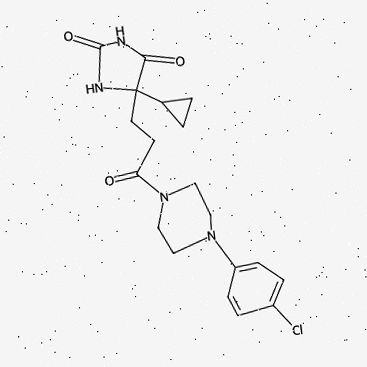 O=C1NC(=O)C(CCC(=O)N2CCN(c3ccc(Cl)cc3)CC2)(C2CC2)N1